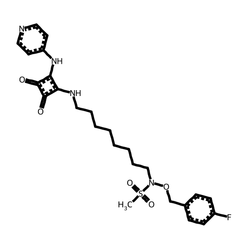 CS(=O)(=O)N(CCCCCCCCNc1c(Nc2ccncc2)c(=O)c1=O)OCc1ccc(F)cc1